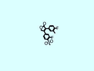 Cc1cc(C2=C(c3ccc(S(C)(=O)=O)c(F)c3)COC2=O)ccc1F